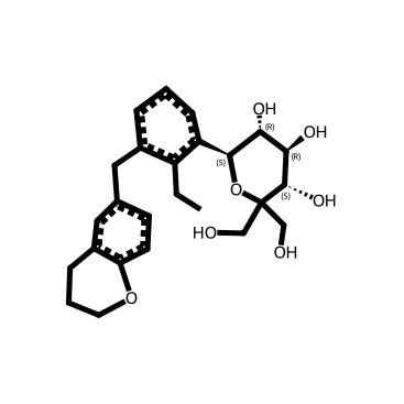 CCc1c(Cc2ccc3c(c2)CCCO3)cccc1[C@@H]1OC(CO)(CO)[C@@H](O)[C@H](O)[C@H]1O